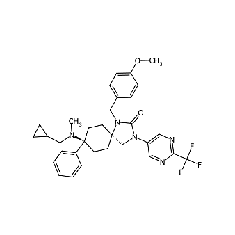 COc1ccc(CN2C(=O)N(c3cnc(C(F)(F)F)nc3)C[C@]23CC[C@](c2ccccc2)(N(C)CC2CC2)CC3)cc1